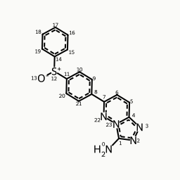 Nc1nnc2ccc(-c3ccc([S+]([O-])c4ccccc4)cc3)nn12